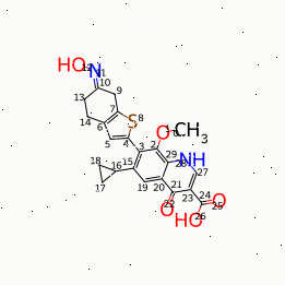 COc1c(-c2cc3c(s2)C/C(=N/O)CC3)c(C2CC2)cc2c(=O)c(C(=O)O)c[nH]c12